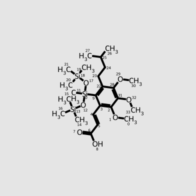 COc1c(C=CC(=O)O)c([Si](C)(O[Si](C)(C)C)O[Si](C)(C)C)c(CCC(C)C)c(OC)c1OC